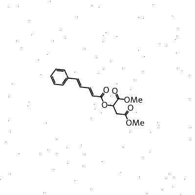 COC(=O)CC(OC(=O)/C=C/C=C/c1ccccc1)C(=O)OC